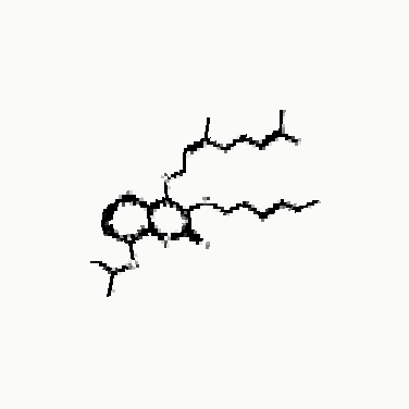 CCC=CCCOc1c(OCC=C(C)CCC=C(C)C)c2cccc(OC(C)C)c2oc1=O